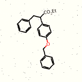 CCOC(=O)C(Cc1ccccc1)c1ccc(OCc2ccccc2)cc1